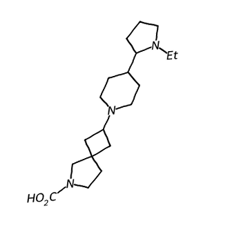 CCN1CCCC1C1CCN(C2CC3(CCN(C(=O)O)C3)C2)CC1